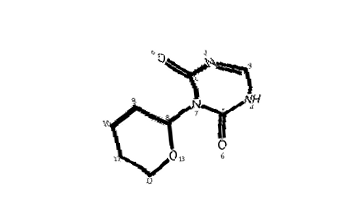 O=c1nc[nH]c(=O)n1C1CCCCO1